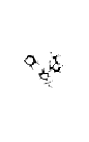 CCS(=N)(=O)c1ccc(Oc2ccccc2F)c(-c2cn(C)c(=O)c3[nH]ccc23)c1